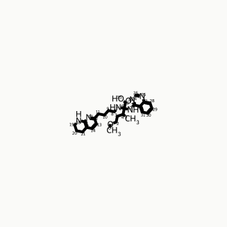 COCCC(C)C(NCCCCc1ccc2c(n1)NCCC2)(Nc1ncnc2ccccc12)C(=O)O